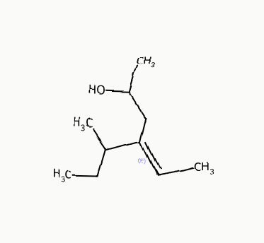 C/C=C(\CC(C)O)C(C)CC